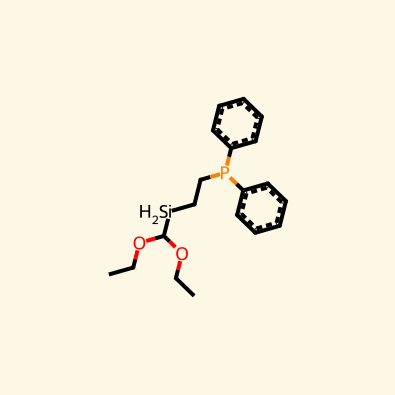 CCOC(OCC)[SiH2]CCP(c1ccccc1)c1ccccc1